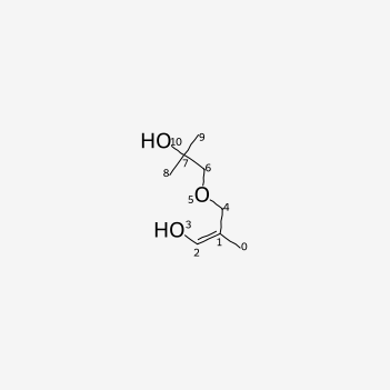 CC(=CO)COCC(C)(C)O